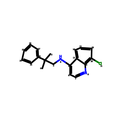 CC(C)(CNc1ccnc2c(Cl)cccc12)c1ccccc1